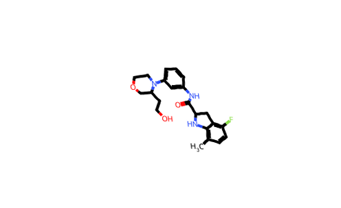 Cc1ccc(F)c2c1NC(C(=O)Nc1cccc(N3CCOCC3CCO)c1)C2